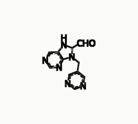 O=CC1Nc2cncnc2N1Cc1cncnc1